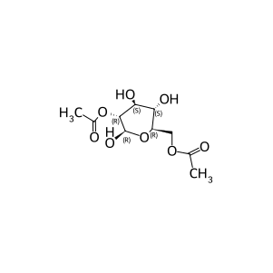 CC(=O)OC[C@H]1O[C@@H](O)[C@H](OC(C)=O)[C@@H](O)[C@@H]1O